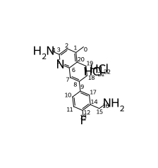 Cc1cc(N)nc2cc(-c3ccc(F)c(CN)c3)ccc12.Cl.Cl